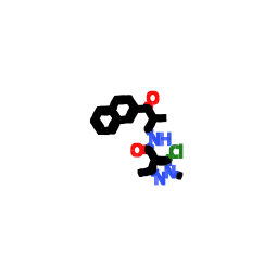 Cc1nn(C)c(Cl)c1C(=O)NCC(C)C(=O)c1ccc2ccccc2c1